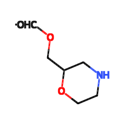 O=[C]OCC1CNCCO1